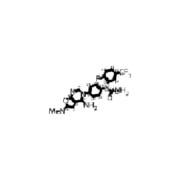 CNc1cc2c(o1)N=CN(c1ccc(N(C(N)=O)c3cc(C(F)(F)F)ccc3F)cc1)C2N